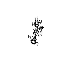 COc1cccc2[nH]c(C(=O)N[C@@H](CC3CC3)C(=O)N[C@@]3(C#N)C[C@H]4CNC(=O)[C@@H]4C3)cc12